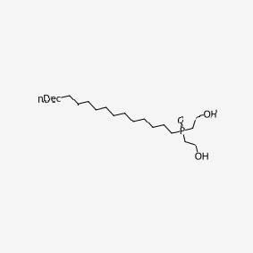 CCCCCCCCCCCCCCCCCCCCCCP(=O)(CCO)CCO